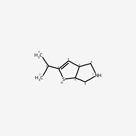 CC(C)C1=CC2CNCC2S1